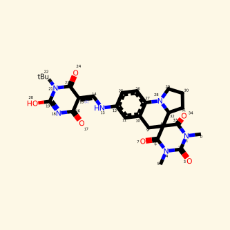 CN1C(=O)N(C)C(=O)C2(Cc3cc(N/C=C4\C(=O)N=C(O)N(C(C)(C)C)C4=O)ccc3N3CCCC32)C1=O